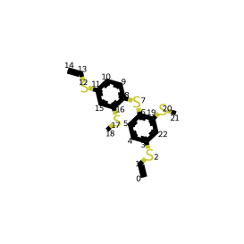 C=CSc1ccc(Sc2ccc(SC=C)cc2SC)c(SC)c1